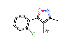 Cc1noc(-c2ccccc2Cl)c1C(C)C